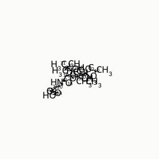 CC(C)OC(C)C(=O)C(C)(C)C(C)(C)OC(CC(=O)NCCS(=O)(=O)O)C(=O)C(C)(C)C